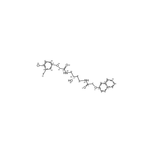 O=C(COc1ccc2ccccc2c1)NCC[C@H](O)CNC(=O)COc1ccc(Cl)c(F)c1